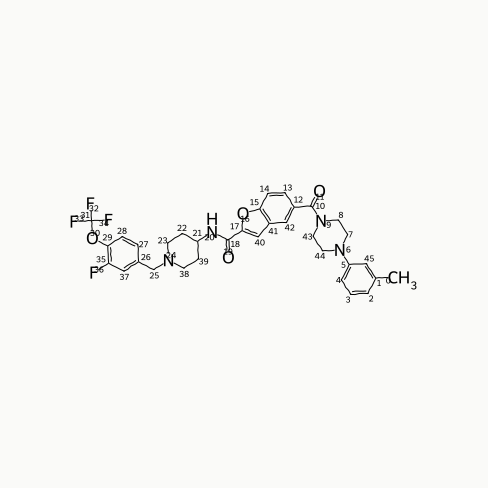 Cc1cccc(N2CCN(C(=O)c3ccc4oc(C(=O)NC5CCN(Cc6ccc(OC(F)(F)F)c(F)c6)CC5)cc4c3)CC2)c1